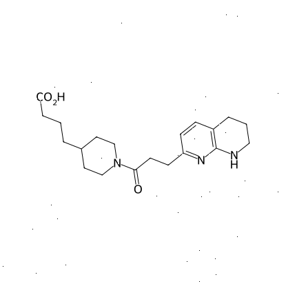 O=C(O)CCCC1CCN(C(=O)CCc2ccc3c(n2)NCCC3)CC1